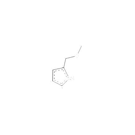 COCc1ccc[nH]1